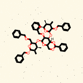 CC[C@@H]1O[C@H](O[C@@H]2C(OCc3ccccc3)[C@H](O[C@@H]3C(COCc4ccccc4)O[C@@H](OCc4ccccc4)C(C)[C@@H]3C)OC3COC(c4ccccc4)O[C@H]32)C(OCc2ccccc2)C(C)[C@@H]1C